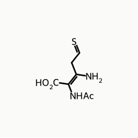 CC(=O)N/C(C(=O)O)=C(\N)CC=S